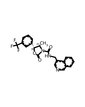 C[C@H]1[C@@H](c2cccc(C(F)(F)F)c2)OC(=O)N1C(=O)NCc1cncc2ccccc12